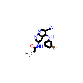 C=CC(=O)Nc1cnc2ncc(C#N)c(Nc3cccc(Br)c3)c2c1